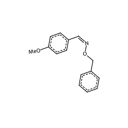 COc1ccc(/[C]=N\OCc2ccccc2)cc1